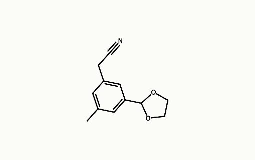 Cc1cc(CC#N)cc(C2OCCO2)c1